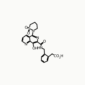 O=C(O)Cc1ccccc1CNC(=O)c1nc(N2CCCCS2(=O)=O)c2cccnc2c1O